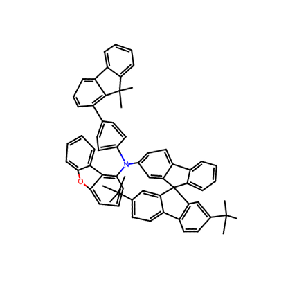 CC(C)(C)c1ccc2c(c1)C1(c3ccccc3-c3ccc(N(c4ccc(-c5cccc6c5C(C)(C)c5ccccc5-6)cc4)c4cccc5oc6ccccc6c45)cc31)c1cc(C(C)(C)C)ccc1-2